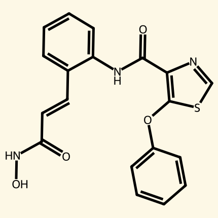 O=C(C=Cc1ccccc1NC(=O)c1ncsc1Oc1ccccc1)NO